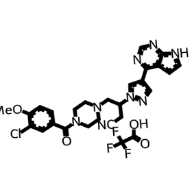 COc1ccc(C(=O)N2CCN(CC(CC#N)n3cc(-c4ncnc5[nH]ccc45)cn3)CC2)cc1Cl.O=C(O)C(F)(F)F